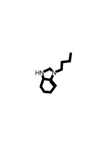 CCCCN1CNC2CCCC=C21